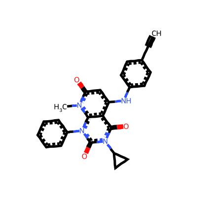 C#Cc1ccc(Nc2cc(=O)n(C)c3c2c(=O)n(C2CC2)c(=O)n3-c2ccccc2)cc1